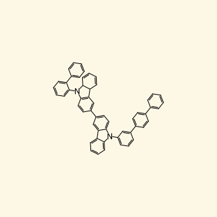 C1=CC2c3cc(-c4ccc5c(c4)c4ccccc4n5-c4cccc(-c5ccc(-c6ccccc6)cc5)c4)ccc3N(c3ccccc3-c3ccccc3)C2C=C1